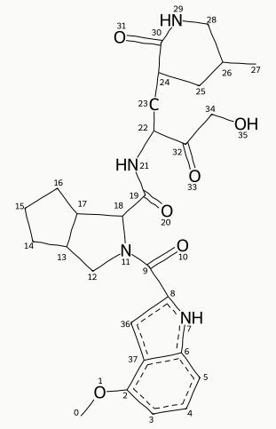 COc1cccc2[nH]c(C(=O)N3CC4CCCC4C3C(=O)NC(CC3CC(C)CNC3=O)C(=O)CO)cc12